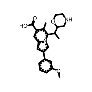 COc1cccc(-c2cc3cc(C(=O)O)c(C)c(C(C)C4CNCCO4)n3c2)c1